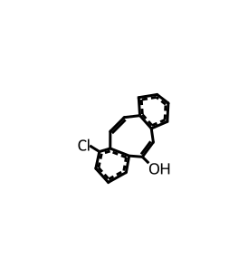 OC1=Cc2ccccc2/C=C\c2c(Cl)cccc21